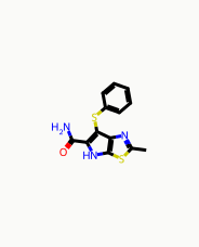 Cc1nc2c(Sc3ccccc3)c(C(N)=O)[nH]c2s1